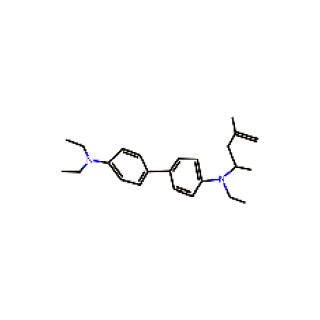 C=C(C)CC(C)N(CC)c1ccc(-c2ccc(N(CC)CC)cc2)cc1